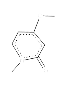 COc1[c]c(=O)n(C)cc1